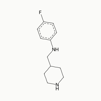 Fc1ccc(NCC2CCNCC2)cc1